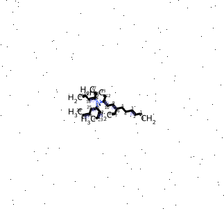 C=C/C=C/CC/C(C=C)=C/C=C(\C=C)N(/C(C=C)=C/C=C)C(/C=C\C)=C/C=C\C